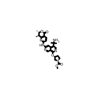 COC(=O)N1CC[C@H](Oc2ncc(C(C)(C)N)c3cc(Nc4ccc5c(n4)[C@@H](C)[C@H](C)OC5=O)ncc23)C1